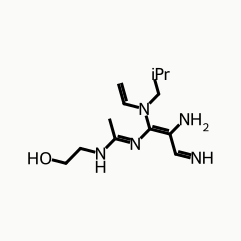 C=CN(CC(C)C)C(/N=C(\C)NCCO)=C(\N)C=N